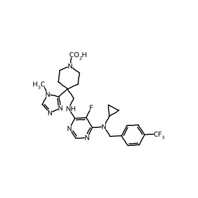 Cn1cnnc1C1(CNc2ncnc(N(Cc3ccc(C(F)(F)F)cc3)C3CC3)c2F)CCN(C(=O)O)CC1